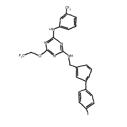 Fc1ccc(-c2cccc(CNc3nc(Nc4cccc(C(F)(F)F)c4)nc(OCC(F)(F)F)n3)c2)cc1